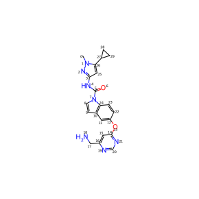 Cn1nc(NC(=O)n2ccc3cc(Oc4cc(CN)ncn4)ccc32)cc1C1CC1